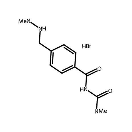 Br.CNNCc1ccc(C(=O)NC(=O)NC)cc1